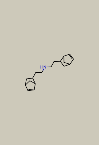 C1=CC2CC1CC2CCNCCC1CC2C=CC1C2